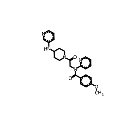 COc1ccc(C(=O)N(CC(=O)N2CCC(Nc3cccnc3)CC2)c2ccccn2)cc1